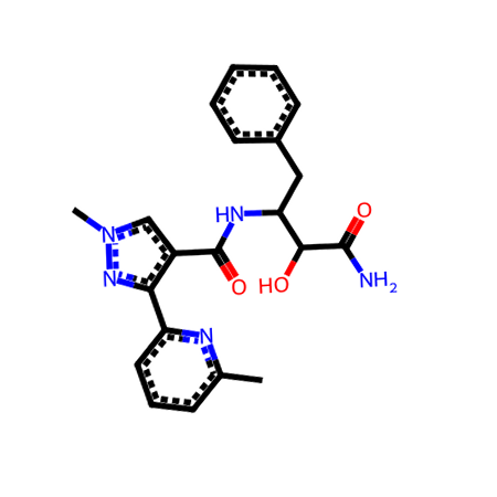 Cc1cccc(-c2nn(C)cc2C(=O)NC(Cc2ccccc2)C(O)C(N)=O)n1